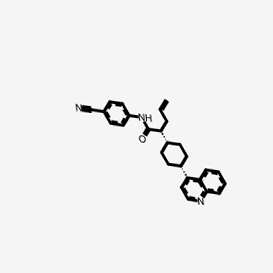 C=CCC(C(=O)Nc1ccc(C#N)cc1)[C@H]1CC[C@@H](c2ccnc3ccccc32)CC1